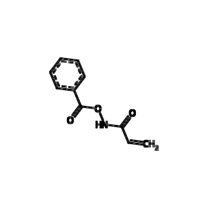 C=CC(=O)NOC(=O)c1ccccc1